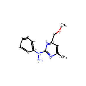 COCc1cc(C)nc(N(N)c2ccccc2)n1